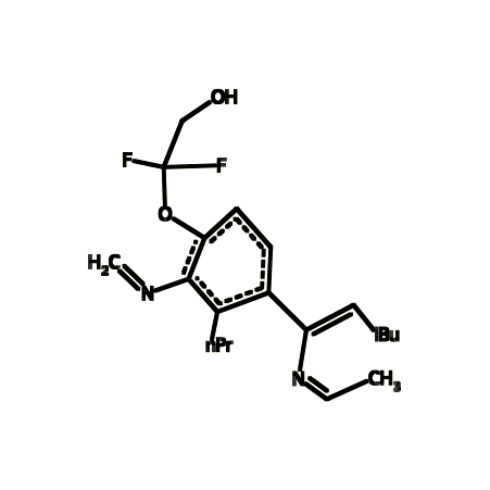 C=Nc1c(OC(F)(F)CO)ccc(C(=C/C(C)CC)/N=C\C)c1CCC